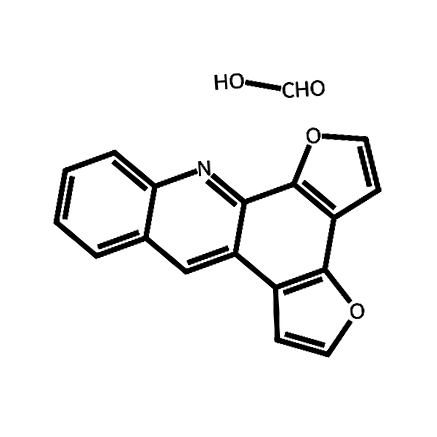 O=CO.c1ccc2nc3c(cc2c1)c1ccoc1c1ccoc13